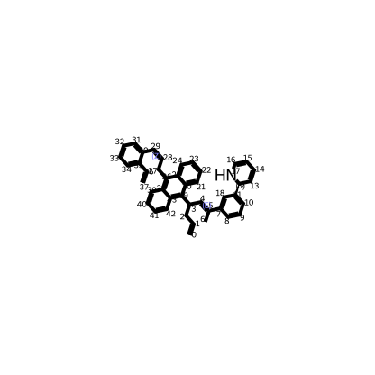 C=CCC(/C=C(\C)c1cccc([C@@H]2C=CC=CN2)c1)c1c2ccccc2c(C/C=C\c2ccccc2C=C)c2ccccc12